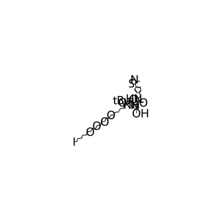 Cc1ncsc1-c1ccc(CNC(=O)[C@@H]2C[C@@H](O)CN2C(=O)C(NC(=O)CCCCCOCCOCCOCCOCCCCCCI)C(C)(C)C)cc1